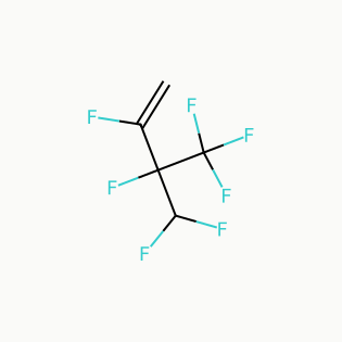 C=C(F)C(F)(C(F)F)C(F)(F)F